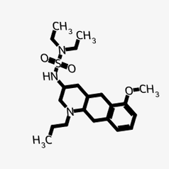 CCCN1CC(NS(=O)(=O)N(CC)CC)CC2Cc3c(cccc3OC)CC21